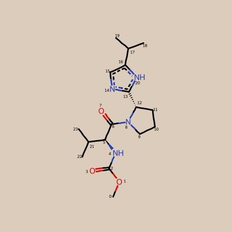 COC(=O)N[C@H](C(=O)N1CCC[C@H]1c1ncc(C(C)C)[nH]1)C(C)C